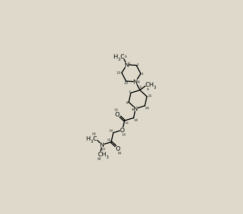 CN1CCN(C2(C)CCN(CC(=O)OCC(=O)N(C)C)CC2)CC1